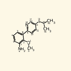 COc1c(N)cccc1-c1ccc(SC(C)C)nn1